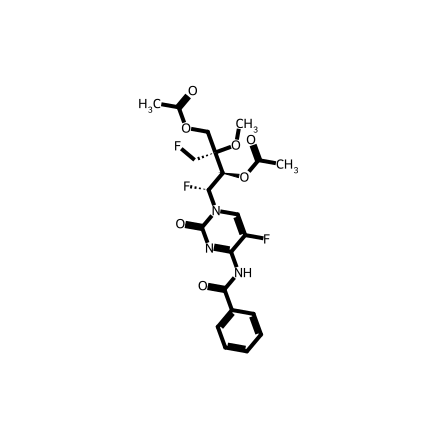 CO[C@](CF)(COC(C)=O)[C@@H](OC(C)=O)[C@@H](F)n1cc(F)c(NC(=O)c2ccccc2)nc1=O